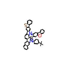 CC(C)(C)c1ccc(N2B3c4cc5oc6ccccc6c5cc4-n4c5cc6c(cc5c5ccc(c3c54)-c3cc4ccccc4cc32)sc2ccccc26)cc1